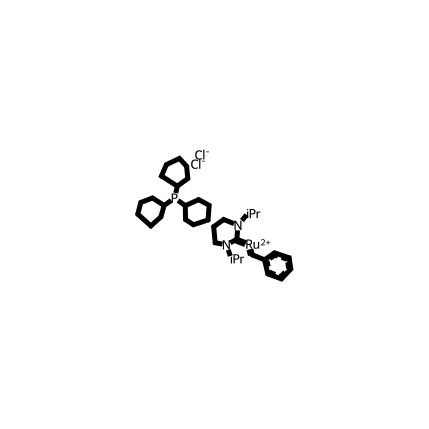 C1CCC(P(C2CCCCC2)C2CCCCC2)CC1.CC(C)N1CCCN(C(C)C)[C]1=[Ru+2]=[CH]c1ccccc1.[Cl-].[Cl-]